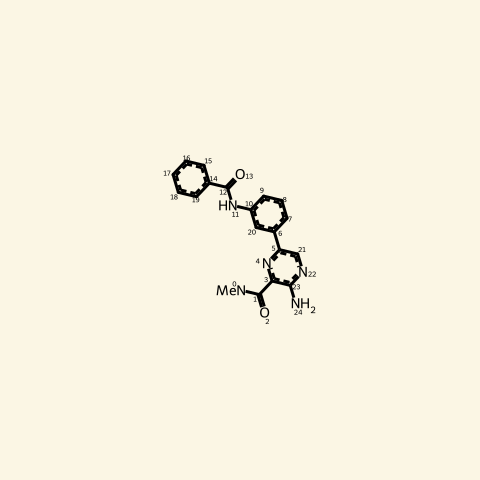 CNC(=O)c1nc(-c2cccc(NC(=O)c3ccccc3)c2)cnc1N